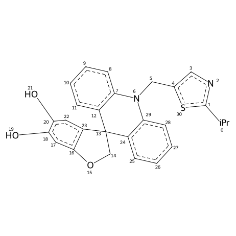 CC(C)c1ncc(CN2c3ccccc3C3(COc4cc(O)c(O)cc43)c3ccccc32)s1